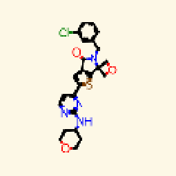 O=C1c2cc(-c3ccnc(NC4CCOCC4)n3)sc2C2(COC2)N1Cc1cccc(Cl)c1